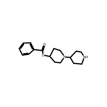 O=C(OC1CCN(C2CCNCC2)CC1)c1ccccc1